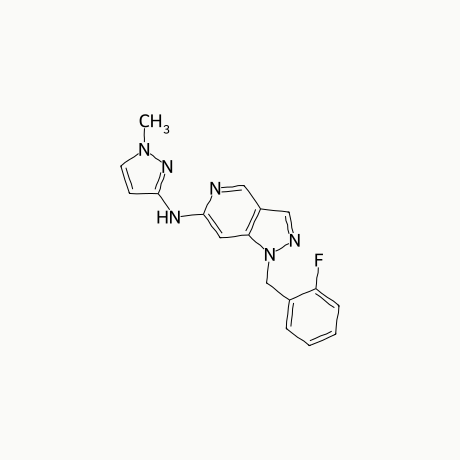 Cn1ccc(Nc2cc3c(cn2)cnn3Cc2ccccc2F)n1